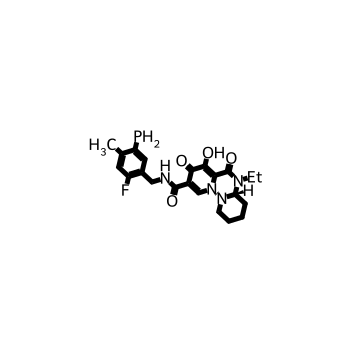 CCN1C(=O)c2c(O)c(=O)c(C(=O)NCc3cc(P)c(C)cc3F)cn2N2CCCC[C@@H]12